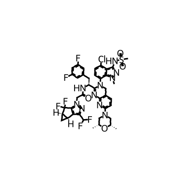 C[C@@H]1CN(c2ccc3c(n2)N=C([C@H](Cc2cc(F)cc(F)c2)NC(=O)Cn2nc(C(F)F)c4c2C(F)(F)[C@@H]2C[C@H]42)N(c2ccc(Cl)c4c(NS(C)(=O)=O)nn(C)c24)C3)C[C@H](C)O1